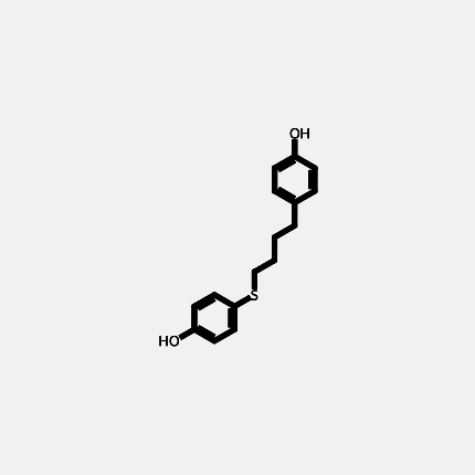 Oc1ccc(CCCCSc2ccc(O)cc2)cc1